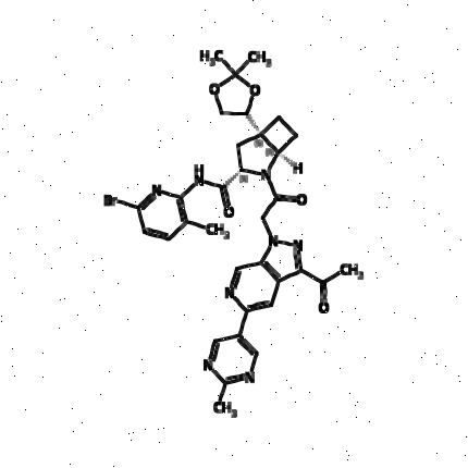 CC(=O)c1nn(CC(=O)N2[C@H](C(=O)Nc3nc(Br)ccc3C)C[C@@]3(C4COC(C)(C)O4)CC[C@@H]23)c2cnc(-c3cnc(C)nc3)cc12